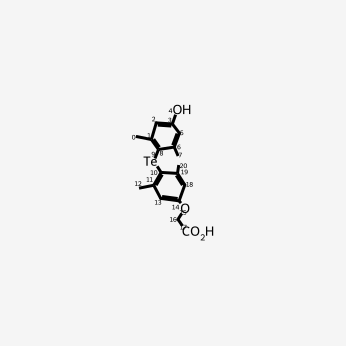 Cc1cc(O)cc(C)c1[Te]c1c(C)cc(OCC(=O)O)cc1C